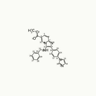 COC(=O)c1ccc2nc(-c3ccc(-n4ccnc4)cc3)c(NCc3ccccc3)n2c1